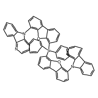 c1ccc([Si](c2ccccc2)(c2cccc3c2oc2c(-n4c5ccccc5c5ccccc54)cccc23)c2cccc3c2oc2c(-n4c5ccccc5c5ncccc54)cccc23)cc1